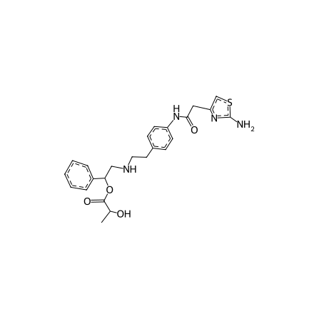 CC(O)C(=O)OC(CNCCc1ccc(NC(=O)Cc2csc(N)n2)cc1)c1ccccc1